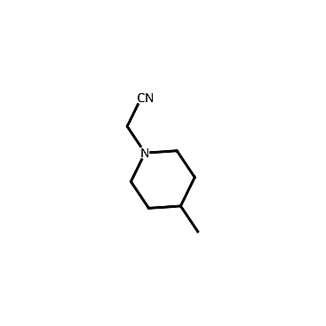 CC1CCN(CC#N)CC1